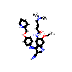 CCOc1cc2ncc(C#N)c(Nc3ccc(OCc4ccccn4)cc3)c2cc1NC(=O)/C=C/CN(C)C